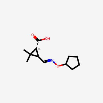 CC1(C)C(C=NOC2CCCC2)[C@H]1C(=O)O